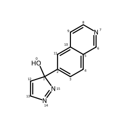 OC1(c2ccc3cnccc3c2)C=CN=N1